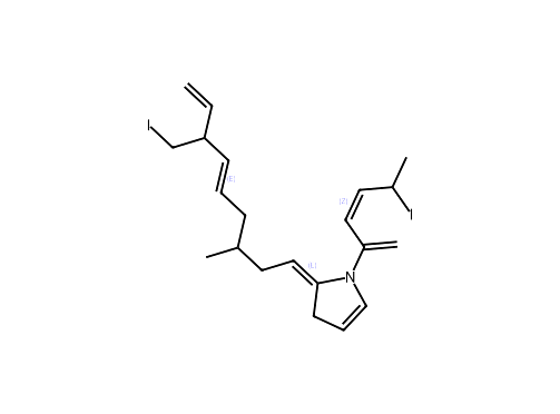 C=CC(/C=C/CC(C)C/C=C1\CC=CN1C(=C)/C=C\C(C)I)CI